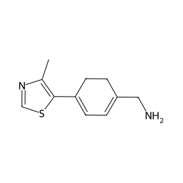 Cc1ncsc1C1=CC=C(CN)CC1